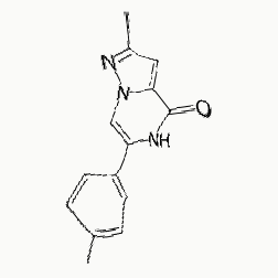 Cc1ccc(-c2cn3nc(C)cc3c(=O)[nH]2)cc1